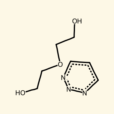 OCCOCCO.c1cnnnc1